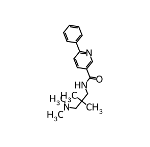 CN(C)CC(C)(C)CNC(=O)c1ccc(-c2ccccc2)nc1